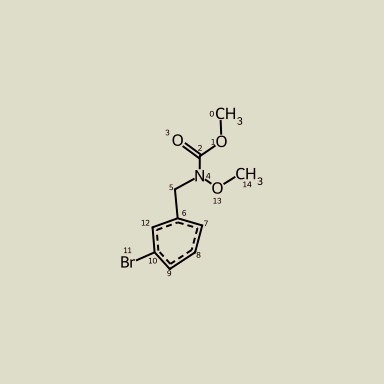 COC(=O)N(Cc1cccc(Br)c1)OC